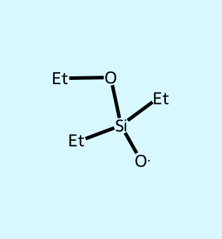 CCO[Si]([O])(CC)CC